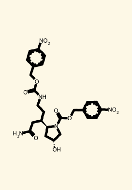 NC(=O)CC(CCNC(=O)OCc1ccc([N+](=O)[O-])cc1)[C@@H]1C[C@@H](O)CN1C(=O)OCc1ccc([N+](=O)[O-])cc1